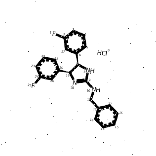 Cl.Fc1cccc([C@H]2NC(NCc3ccccc3)=N[C@H]2c2cccc(F)c2)c1